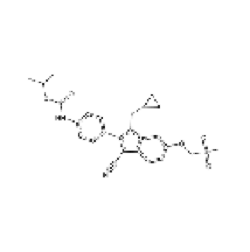 CC(C)OC(=O)Nc1ccc(-c2c(C#N)c3ccc(OCS(C)(=O)=O)cc3n2CC2CC2)cc1